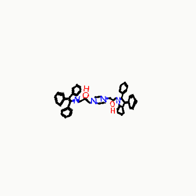 OC(CN1CCN(CC(O)CN2c3ccccc3C(c3ccccc3)C2c2ccccc2)CC1)CN1c2ccccc2C(c2ccccc2)C1c1ccccc1